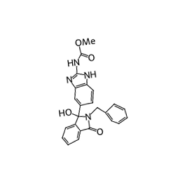 COC(=O)Nc1nc2cc(C3(O)c4ccccc4C(=O)N3Cc3ccccc3)ccc2[nH]1